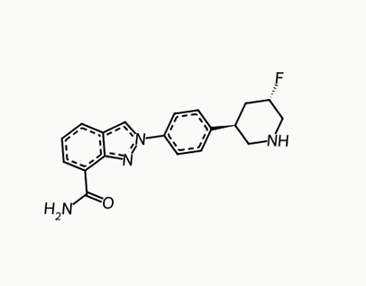 NC(=O)c1cccc2cn(-c3ccc([C@@H]4CNC[C@@H](F)C4)cc3)nc12